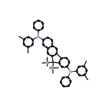 Cc1cc(C)cc(N(c2ccccc2)c2ccc3c(c2)C([Si](C)(C)C)([Si](C)(C)C)c2cc4cc(N(c5ccccc5)c5cc(C)cc(C)c5)ccc4cc2-3)c1